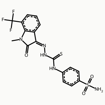 CN1C(=O)C(=NNC(=S)Nc2ccc(S(N)(=O)=O)cc2)c2cccc(C(F)(F)F)c21